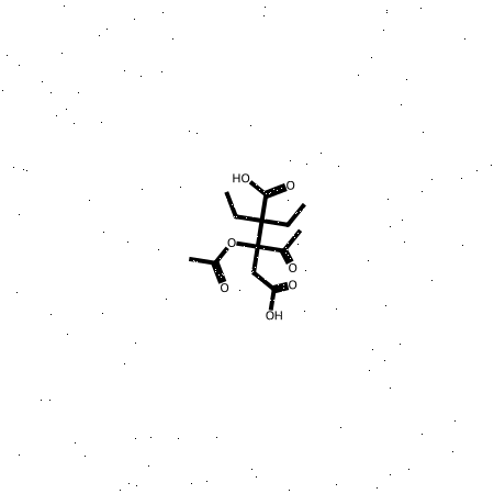 CCC(CC)(C(=O)O)C(CC(=O)O)(OC(C)=O)C(C)=O